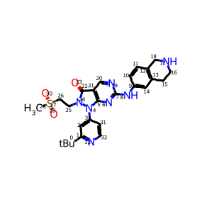 CC(C)(C)c1cc(-n2c3nc(Nc4ccc5c(c4)CCNC5)ncc3c(=O)n2CCS(C)(=O)=O)ccn1